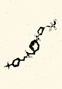 C=CS(=O)(=O)NC[C@H]1CCN(S(=O)(=O)c2ccc(CC(=O)NCCc3ccc(C(F)(F)F)cc3)cc2)C1